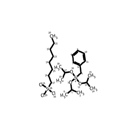 CC(C)O[Si](Cc1ccccc1)(OC(C)C)OC(C)C.CCCCCCCC[Si](Cl)(Cl)Cl